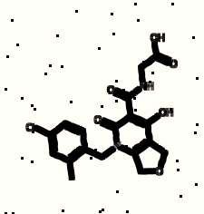 Cc1cc(Cl)ccc1Cn1c2c(c(O)c(C(=O)NCC(=O)O)c1=O)COC2